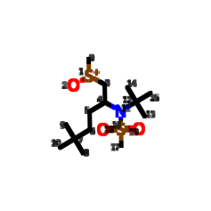 C[S+]([O-])CC(CCC(C)(C)C)N(C(C)(C)C)S(C)(=O)=O